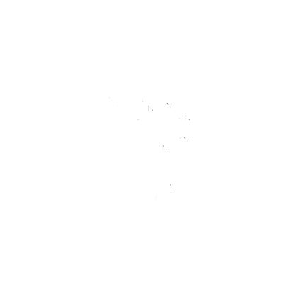 Nc1ncnc2c1c1c(n2[C@H]2C[C@H](CO)C2)CCC(O)c2c-1noc2C1CC1